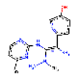 CCCc1ccnc(N/C(=C(/N)c2ccc(O)cn2)N(C)N)n1